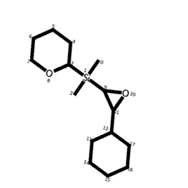 C[Si](C)(C1CCCCO1)C1OC1C1CCCCC1